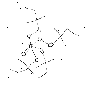 CCC(C)(C)O[O][Ti](=[O])([O]OC(C)(C)CC)([O]C(C)(C)CC)[O]C(C)(C)CC